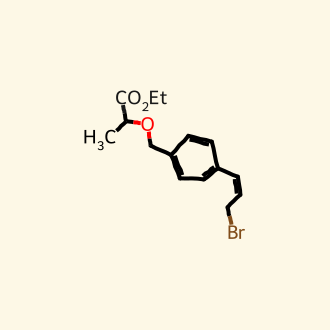 CCOC(=O)C(C)OCc1ccc(/C=C\CBr)cc1